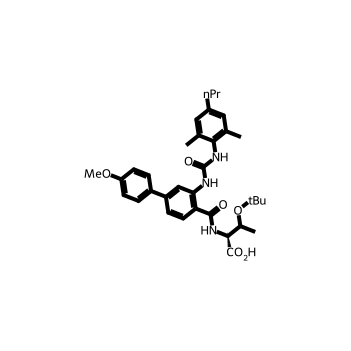 CCCc1cc(C)c(NC(=O)Nc2cc(-c3ccc(OC)cc3)ccc2C(=O)N[C@H](C(=O)O)C(C)OC(C)(C)C)c(C)c1